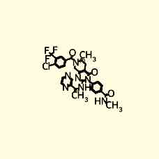 CNC(=O)c1ccc(-n2c(N[C@@H](C)c3cnccn3)nc3c(c2=O)C[C@@H](C)N(C(=O)c2ccc(Cl)c(C(F)(F)F)c2)C3)cc1